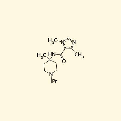 Cc1ncn(C)c1C(=O)NC1(C)CCN(C(C)C)CC1